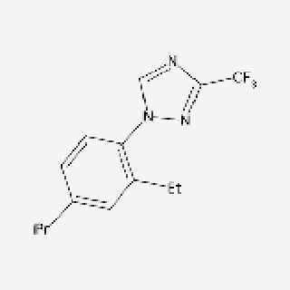 CCc1cc(C(C)C)ccc1-n1cnc(C(F)(F)F)n1